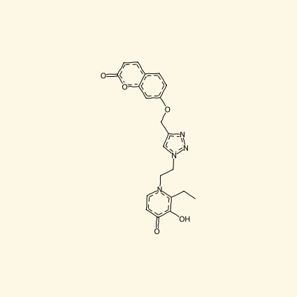 CCc1c(O)c(=O)ccn1CCn1cc(COc2ccc3ccc(=O)oc3c2)nn1